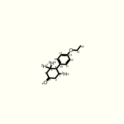 [2H]C1CC(=O)CC([2H])([2H])C1c1ccc(OCC)cc1